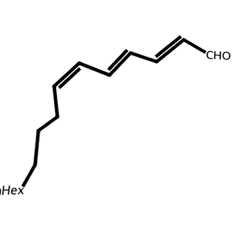 CCCCCCCCC/C=C\C=CC=CC=O